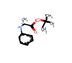 C[C@@H](Nc1ccccc1)C(=O)OC(C)(C)C